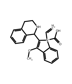 C=C[N+]1(C(=O)O)C(C2NCCc3ccccc32)=C(OC)c2ccccc21